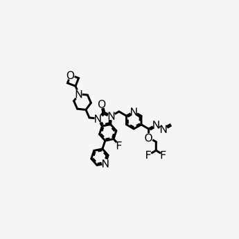 C=N/N=C(\OCC(F)F)c1ccc(Cn2c(=O)n(CC3CCN(C4COC4)CC3)c3cc(-c4cccnc4)c(F)cc32)nc1